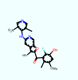 CCCc1c(C(=O)c2c(C)c(OC)cc(O)c2F)oc2cnc(Nc3c(C)cncc3[N+](=O)[O-])cc12